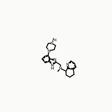 CC(=O)N1CCN(c2cccc3[nH]c(CN(C)C4CCCc5cccnc54)nc23)CC1